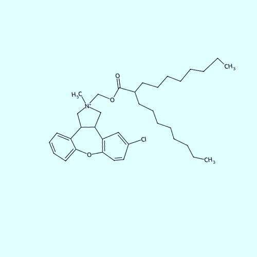 CCCCCCCCC(CCCCCCCC)C(=O)OC[N+]1(C)CC2c3ccccc3Oc3ccc(Cl)cc3C2C1